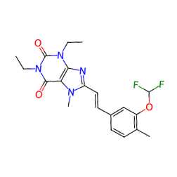 CCn1c(=O)c2c(nc(/C=C/c3ccc(C)c(OC(F)F)c3)n2C)n(CC)c1=O